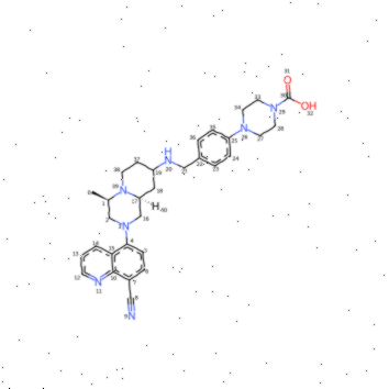 C[C@@H]1CN(c2ccc(C#N)c3ncccc23)C[C@@H]2CC(NCc3ccc(N4CCN(C(=O)O)CC4)cc3)CCN21